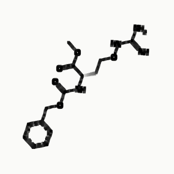 COC(=O)[C@H](CCONC(=N)N)NC(=O)OCc1ccccc1